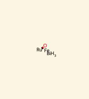 [BiH3].[Fe].[O]=[Ru]